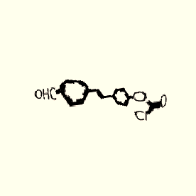 O=Cc1ccc(C=Cc2ccc(OC(=O)Cl)cc2)cc1